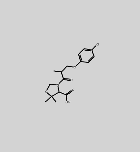 CC(COc1ccc(Cl)cc1)C(=O)N1CSC(C)(C)C1C(=O)O